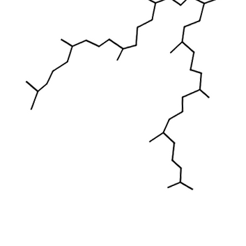 [CH2]C(CCCC(C)CCCC(C)CCCC(C)CCCC(C)C)CCC(C)CCCC(C)CCCC(C)CCCC(C)C